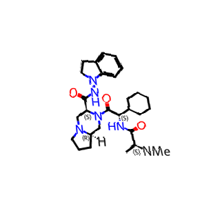 CN[C@@H](C)C(=O)N[C@H](C(=O)N1C[C@H]2CCCN2C[C@H]1C(=O)NN1CCc2ccccc21)C1CCCCC1